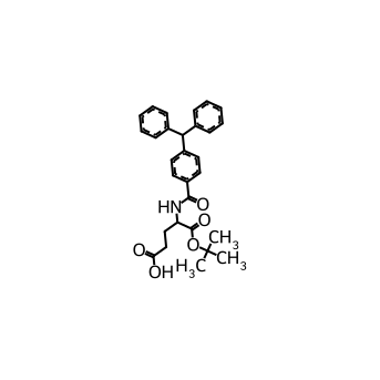 CC(C)(C)OC(=O)C(CCC(=O)O)NC(=O)c1ccc(C(c2ccccc2)c2ccccc2)cc1